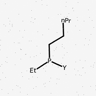 CCCCC[P]([Y])CC